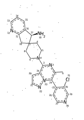 Cc1nc(N2CCC3(CC2)Cc2ncccc2[C@H]3N)c2ccnn2c1-c1ccncc1Cl